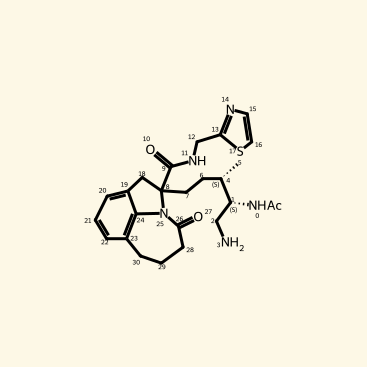 CC(=O)N[C@H](CN)[C@@H](C)CCC1(C(=O)NCc2nccs2)Cc2cccc3c2N1C(=O)CCC3